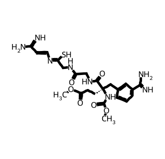 COC(=O)CC[C@](Cc1cccc(C(=N)N)c1)(NC(=O)OC)C(=O)NCC(=O)NC/C(S)=N/C=C/C(=N)N